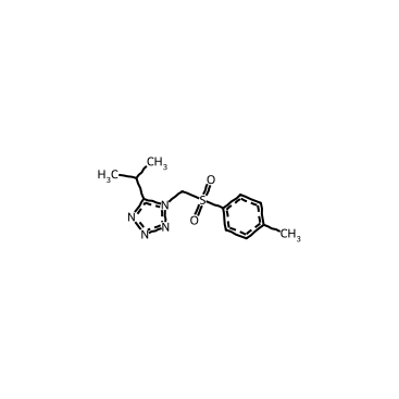 Cc1ccc(S(=O)(=O)Cn2nnnc2C(C)C)cc1